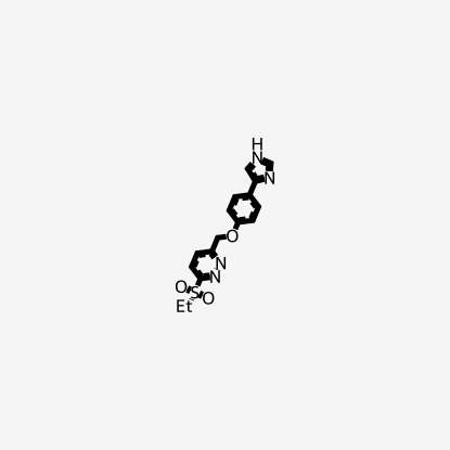 CCS(=O)(=O)c1ccc(COc2ccc(-c3c[nH]cn3)cc2)nn1